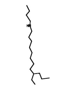 CCCCNCCCCCCCCC(CC)CCC